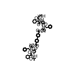 CN[C@@H](C)C(=O)N[C@H](C(=O)N1CC[C@H](OC)[C@H]1CN(CCc1ccccc1)C(=O)CNC(=O)c1ccc(-c2ccc(C(=O)NCC(=O)N(CCc3ccccc3)C3[C@@H](OC)CCN3C(=O)[C@@H](NC(=O)C(C)C)C3CCCCC3)cc2)cc1)C1CCCCC1